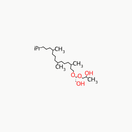 CC(C)CCCC(C)CCCC(C)CCCC(C)CCO[C@@H](CO)OC[C@H](C)O